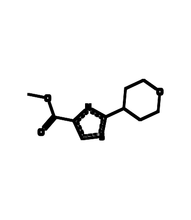 COC(=O)c1csc(C2CCOCC2)n1